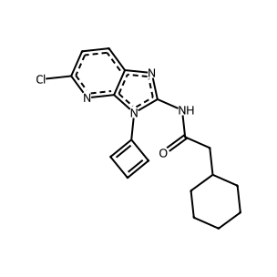 O=C(CC1CCCCC1)Nc1nc2ccc(Cl)nc2n1C1=CC=C1